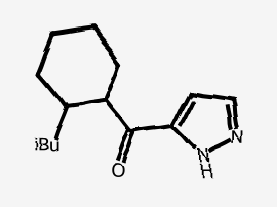 CCC(C)C1CCCCC1C(=O)c1ccn[nH]1